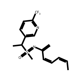 C=C(/C=C\C=C/C)N=S(C)(=O)C(C)c1ccc(C(F)(F)F)nc1